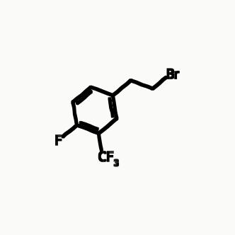 Fc1ccc(CCBr)cc1C(F)(F)F